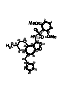 COc1cccc(OC)c1S(=O)(=O)Nc1noc2cc(Cn3cccn3)c3c(c12)OCC(C)C3